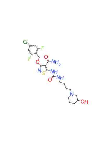 NC(=O)c1c(OCc2c(F)cc(Cl)cc2F)nsc1NC(=O)NCCCCN1CCCC(O)C1